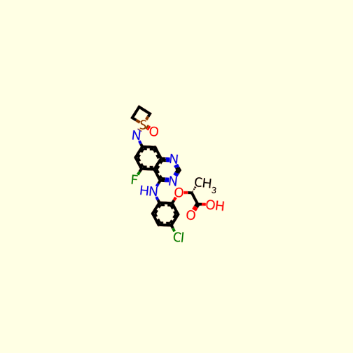 C[C@@H](Oc1cc(Cl)ccc1Nc1ncnc2cc(N=S3(=O)CCC3)cc(F)c12)C(=O)O